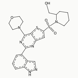 O=S(=O)(c1cc2nc(-c3cccc4[nH]ncc34)nc(N3CCOCC3)c2s1)N1CCCCC1CO